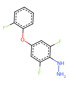 NNc1c(F)cc(Oc2ccccc2F)cc1F